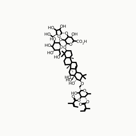 C/C=C(/C)C(=O)OC1C(O)[C@H](CO[C@H]2[C@H](O)[C@@]3(CO)C(CC2(C)C)C2=CCC4[C@@]5(C)CC[C@H](O[C@@H]6OC(C(=O)O)[C@@H](O)C(O[C@@H]7O[C@@H](CO)C(O)C7O)C6O[C@@H]6OC(CO)[C@H](O)C(O)C6O)C(C)(C)C5CC[C@@]4(C)[C@]2(C)C[C@H]3O)OC(C)[C@@H]1OC(=O)/C(C)=C\C